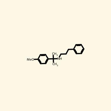 COc1ccc(C(C)(C)NCCCc2ccccc2)cc1